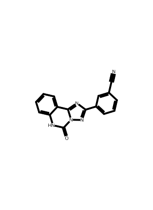 N#Cc1cccc(-c2nc3c4ccccc4[nH]c(=O)n3n2)c1